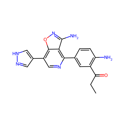 CCC(=O)c1cc(-c2ncc(-c3cn[nH]c3)c3onc(N)c23)ccc1N